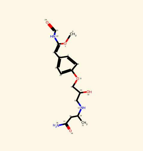 COC(=Cc1ccc(OCC(O)CNC(C)CC(N)=O)cc1)NC=O